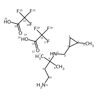 CC1CC1CNC(C)(C)CCN.O=C(O)C(F)(F)F.O=C(O)C(F)(F)F